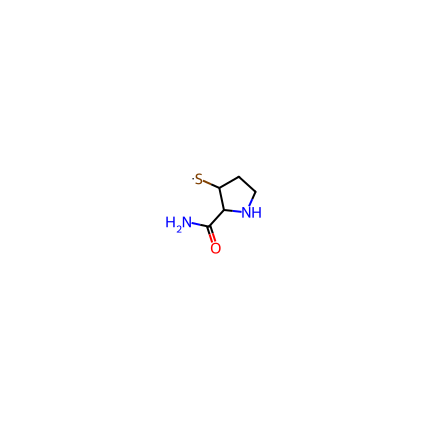 NC(=O)C1NCCC1[S]